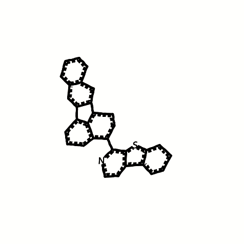 c1ccc2cc3c(cc2c1)-c1cccc2c(-c4nccc5c4sc4ccccc45)ccc-3c12